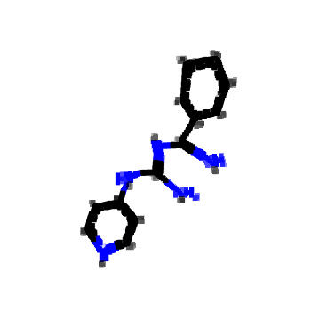 N=C(/N=C(\N)Nc1ccncc1)c1ccccc1